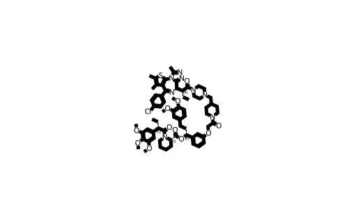 CC[C@H](C(=O)N1CCCC[C@H]1C(=O)O[C@H](CCc1ccc(OC)c(OC)c1)c1cccc(OCC(=O)N2CCC(CN3CCN(C(=O)[C@H](CC)[C@@H]4N=C(c5ccc(Cl)cc5)c5c(sc(C)c5C)-n5c(C)nnc54)CC3)CC2)c1)c1cc(OC)c(OC)c(OC)c1